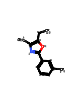 O=Cc1nc(-c2cccc(C(F)(F)F)c2)oc1CC(F)(F)F